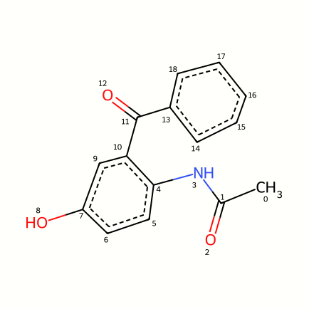 CC(=O)Nc1ccc(O)cc1C(=O)c1ccccc1